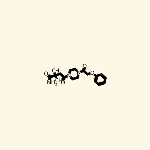 CC(C)(CC(=O)N1CCN(C(=O)COc2ccccc2)CC1)C(N)=O